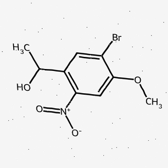 COc1cc([N+](=O)[O-])c(C(C)O)cc1Br